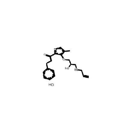 C=CCNCC(O)COc1c(C)csc1C(=O)CCc1ccccc1.Cl